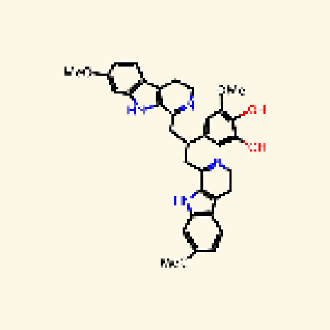 COc1ccc2c3c([nH]c2c1)C(CC(CC1=NCCc2c1[nH]c1cc(OC)ccc21)c1cc(O)c(O)c(OC)c1)=NCC3